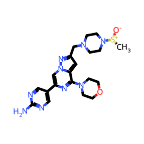 C[S+]([O-])N1CCN(Cc2cc3c(N4CCOCC4)nc(-c4cnc(N)nc4)cn3n2)CC1